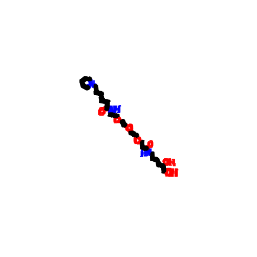 O=C(CCCCCN1CCCCC1)NCCOCCOCCOCCC(=O)NCCCCC(O)CO